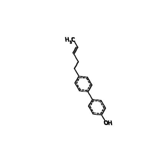 CC=CCCc1ccc(-c2ccc(O)cc2)cc1